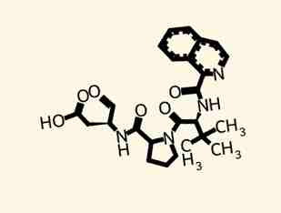 CC(C)(C)[C@H](NC(=O)c1nccc2ccccc12)C(=O)N1CCCC1C(=O)N[C@H](C=O)CC(=O)O